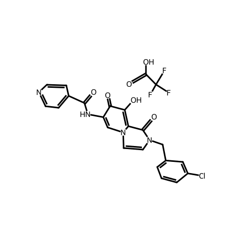 O=C(Nc1cn2ccn(Cc3cccc(Cl)c3)c(=O)c2c(O)c1=O)c1ccncc1.O=C(O)C(F)(F)F